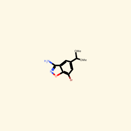 COC(OC)c1cc(Br)c2onc(N)c2c1